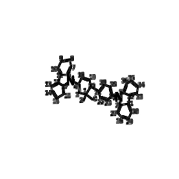 CC1(C)C=C(n2c3ccccc3c3ccccc32)C=CC1c1ccc(-n2c3ccccc3c3ccccc32)cc1